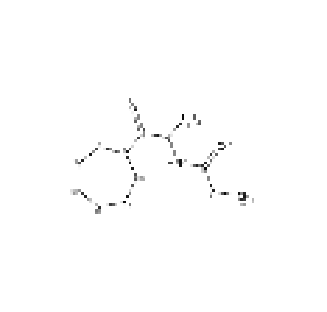 CCC(=O)NC(C)C(=O)C1CCCCCC1